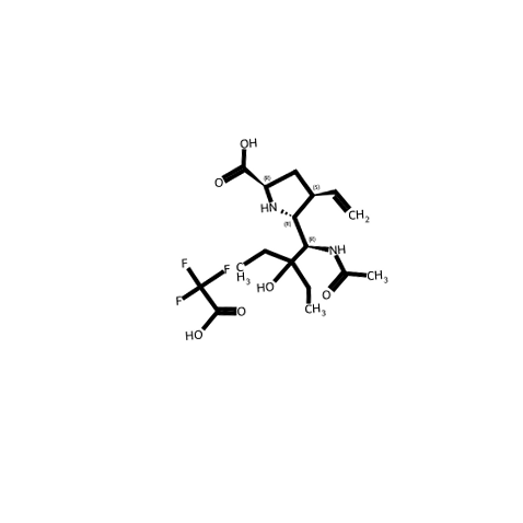 C=C[C@@H]1C[C@H](C(=O)O)N[C@H]1[C@@H](NC(C)=O)C(O)(CC)CC.O=C(O)C(F)(F)F